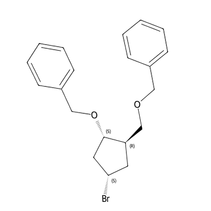 Br[C@H]1C[C@H](COCc2ccccc2)[C@@H](OCc2ccccc2)C1